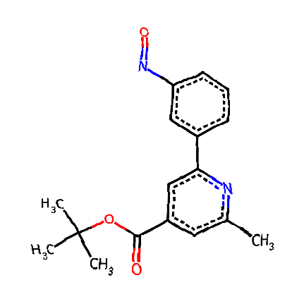 Cc1cc(C(=O)OC(C)(C)C)cc(-c2cccc(N=O)c2)n1